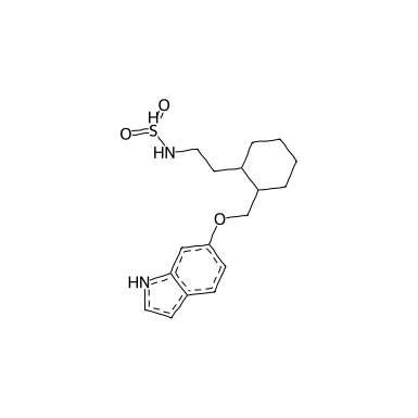 O=[SH](=O)NCCC1CCCCC1COc1ccc2cc[nH]c2c1